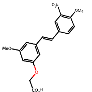 COc1cc(/C=C/c2ccc(OC)c([N+](=O)[O-])c2)cc(OCC(=O)O)c1